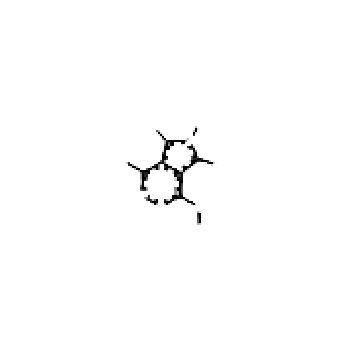 CCOc1nnc(Cl)c2c(C)n(C)c(C)c12